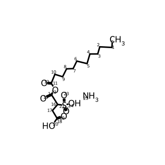 CCCCCCCCCCCC(=O)OC(=O)C(CC(=O)O)S(=O)(=O)O.N